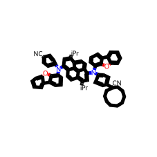 CC(C)c1cc(N(c2ccc(C#N)cc2)c2cccc3c2oc2ccccc23)c2ccc3c(C(C)C)cc(N(c4ccc(C5(C#N)CCCCCCCCC5)cc4)c4cccc5c4oc4ccccc45)c4ccc1c2c34